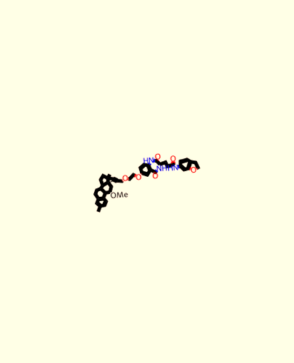 COC1C[C@@]2(C)C(CCC2(C)C#CCOCCOc2ccc3c(c2)C(=O)NC(CCC(=O)Nc2ccc4c(c2)OCC4)C(=O)N3)C2CCc3cc(C)ccc3C12